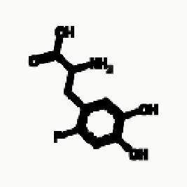 NC(Cc1cc(O)c(O)cc1F)C(=O)O